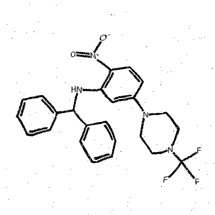 O=[N+]([O-])c1ccc(N2CCN(C(F)(F)F)CC2)cc1NC(c1ccccc1)c1ccccc1